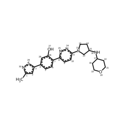 Cc1cc(-c2ccc(-c3ccc(N4CCC(NC5CCOCC5)C4)nn3)c(O)c2)sn1